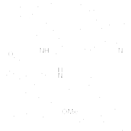 COc1cccc(C(=O)NC2CC2)c1NCc1ccncc1